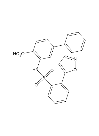 O=C(O)c1ccc(-c2ccccc2)cc1NS(=O)(=O)c1ccccc1-c1ccno1